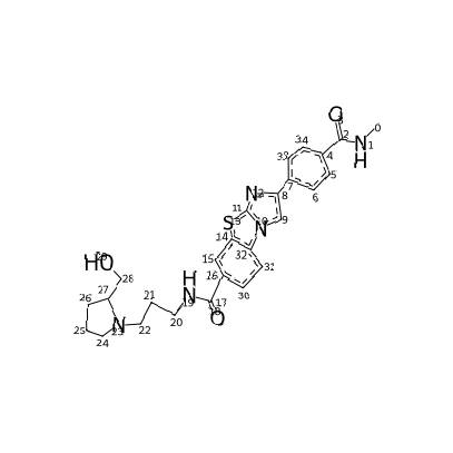 CNC(=O)c1ccc(-c2cn3c(n2)sc2cc(C(=O)NCCCN4CCCC4CO)ccc23)cc1